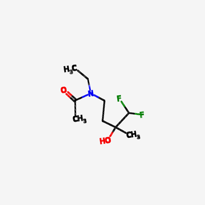 CCN(CCC(C)(O)C(F)F)C(C)=O